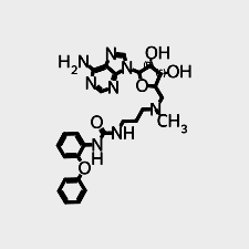 CN(CCCNC(=O)Nc1ccccc1Oc1ccccc1)CC1OC(n2cnc3c(N)ncnc32)[C@H](O)[C@@H]1O